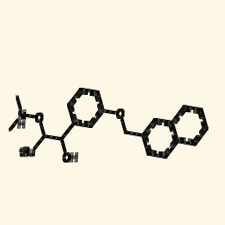 C[SiH](C)OC(C(O)c1cccc(OCc2ccc3ccccc3c2)c1)C(C)(C)C